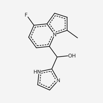 Cc1ccc2c(F)ccc(C(O)c3ncc[nH]3)n12